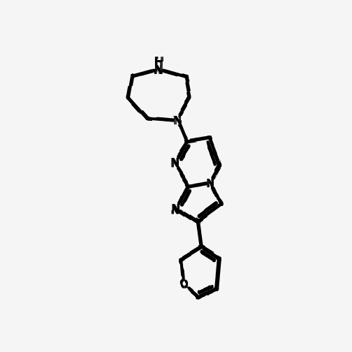 C1=COCC(c2cn3ccc(N4CCCNCC4)nc3n2)=C1